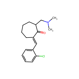 CN(C)CC1CCCCC(=Cc2ccccc2Cl)C1=O